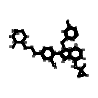 Cc1ccnc(Cn2c(-c3ccc(OCCN4CCNC[C@@H]4C)cc3Cl)nc3c(OC4(C)CC4)ncnc32)c1